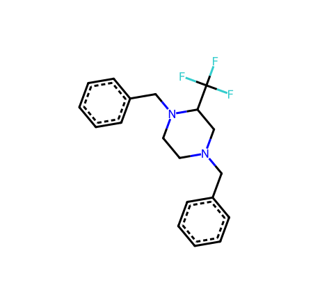 FC(F)(F)C1CN(Cc2ccccc2)CCN1Cc1ccccc1